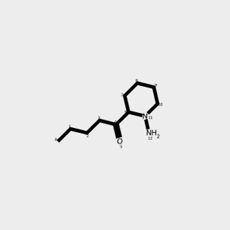 CCCCC(=O)C1CCCCN1N